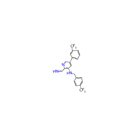 N=Cc1ncc(-c2cccc(C(F)(F)F)c2)cc1NCc1ccc(C(F)(F)F)cc1